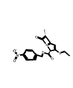 CCSC1=CC2[C@@H](C)C(=O)N2[C@@H]1C(=O)OCc1ccc([N+](=O)[O-])cc1